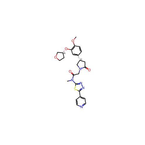 COc1ccc([C@@H]2CC(=O)N(CC(=O)N(C)c3nnc(-c4ccncc4)s3)C2)cc1O[C@@H]1CCOC1